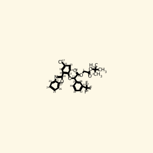 CC(C)(C)OC(=O)COC(=O)C(Oc1ccc(Cl)cc1-c1nc2ccccc2o1)c1cccc(C(F)(F)F)c1